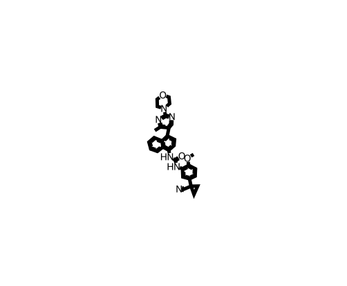 COc1ccc(C2(C#N)CC2)cc1NC(=O)Nc1ccc(-c2cnc(N3CCOCC3)nc2C)c2ccccc12